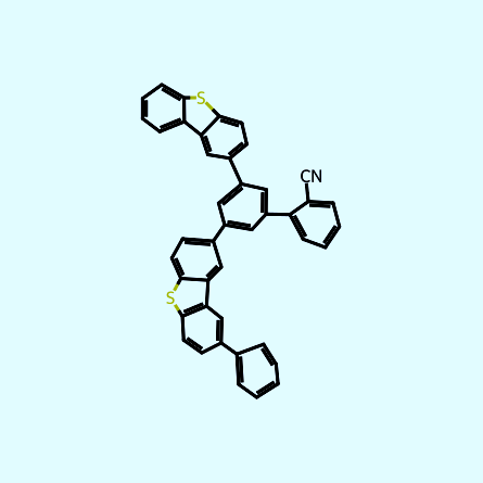 N#Cc1ccccc1-c1cc(-c2ccc3sc4ccccc4c3c2)cc(-c2ccc3sc4ccc(-c5ccccc5)cc4c3c2)c1